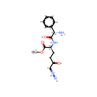 CC(C)(C)OC(=O)[C@H](CCC(=O)C=[N+]=[N-])NC(=O)[C@@H](N)c1ccccc1